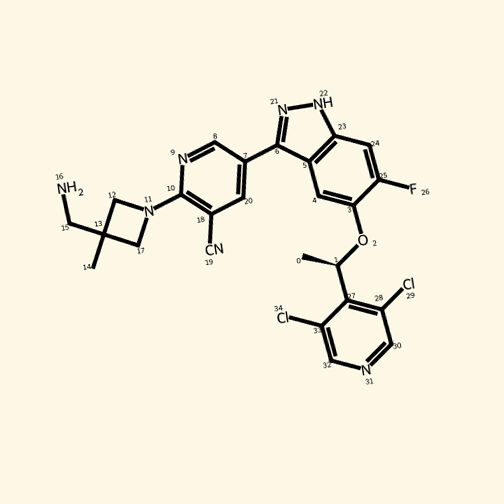 C[C@@H](Oc1cc2c(-c3cnc(N4CC(C)(CN)C4)c(C#N)c3)n[nH]c2cc1F)c1c(Cl)cncc1Cl